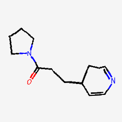 O=C(CCC1C=CN=CC1)N1CCCC1